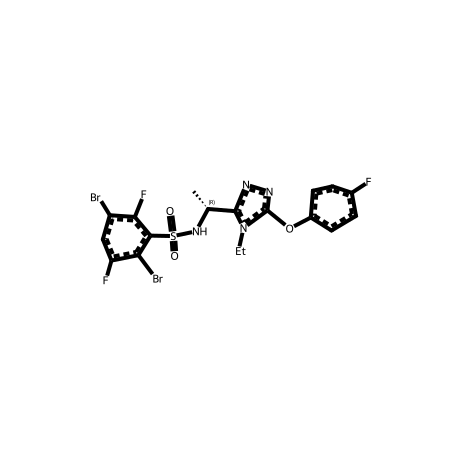 CCn1c(Oc2ccc(F)cc2)nnc1[C@@H](C)NS(=O)(=O)c1c(F)c(Br)cc(F)c1Br